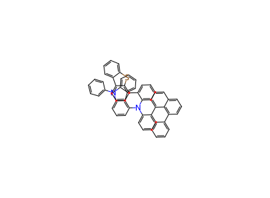 c1ccc(-c2cccc3cccc(-c4ccccc4N(c4ccccc4-c4cccc5c4sc4ccccc45)c4cccc5c4c4ccccc4n5-c4ccccc4)c23)cc1